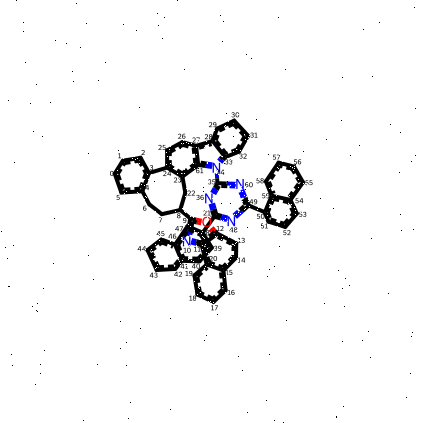 c1ccc2c(c1)CCC(c1nc3c(ccc4ccccc43)o1)Cc1c-2ccc2c3ccccc3n(-c3nc(-c4ccc5ccccc5c4)nc(-c4cccc5ccccc45)n3)c12